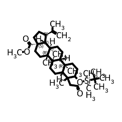 C=C(C)[C@@H]1CC[C@]2(C(=O)OC)CC[C@]3(C)[C@H](CC[C@@H]4[C@@]5(C)CCC(O[Si](C)(C)C(C)(C)C)C(C)(CC=O)[C@@H]5CC[C@]43C)[C@@H]12